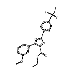 CCOC(=O)c1nc(-c2ccc(C(F)(F)F)cc2)oc1-c1cccc(OC)c1